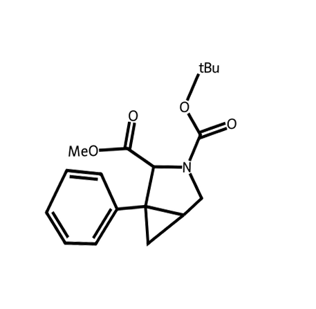 COC(=O)C1N(C(=O)OC(C)(C)C)CC2CC21c1ccccc1